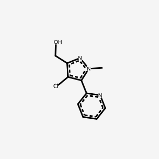 Cn1nc(CO)c(Cl)c1-c1ccccn1